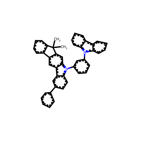 CC1(C)c2ccccc2-c2cc3c4cc(-c5ccccc5)ccc4n(-c4cccc(-n5c6ccccc6c6ccccc65)c4)c3cc21